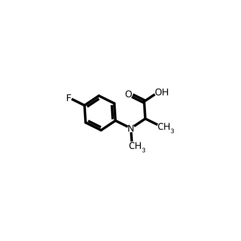 CC(C(=O)O)N(C)c1ccc(F)cc1